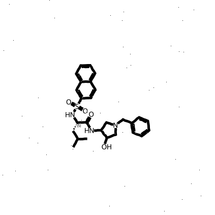 CC(C)C[C@H](NS(=O)(=O)c1ccc2ccccc2c1)C(=O)NC1CN(Cc2ccccc2)CC1O